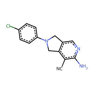 N#Cc1c(N)ncc2c1CN(c1ccc(Cl)cc1)C2